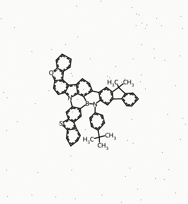 CC(C)(C)c1ccc(N2B3c4cc5c(cc4-n4c6ccc7oc8ccccc8c7c6c6ccc(c3c64)-c3cc4c(cc32)-c2ccccc2C4(C)C)sc2ccccc25)cc1